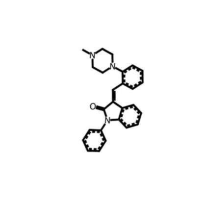 CN1CCN(c2ccccc2/C=C2/C(=O)N(c3ccccc3)c3ccccc32)CC1